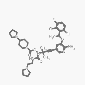 CC(Oc1cc(C#CC(C)(C)N(OC(=O)N2CCC(N3CCCC3)CC2)C(=O)NCCN2CCCC2)cnc1N)c1c(Cl)ccc(F)c1Cl